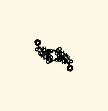 O=C(Nc1ncnc2c1ncn2C1O[C@@]23CO[C@@H]1[C@@H]2O[P@@](=O)(S)OC[C@@]12CO[C@@H]([C@H](n4cnc5c(NC(=O)c6ccccc6)ncnc54)O1)[C@@H]2O[P@@](=O)(S)OC3)c1ccccc1